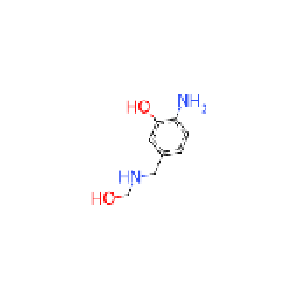 Nc1ccc(CNCO)cc1O